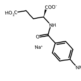 CNc1ccc(C(=O)N[C@@H](CCC(=O)O)C(=O)[O-])cc1.[Na+]